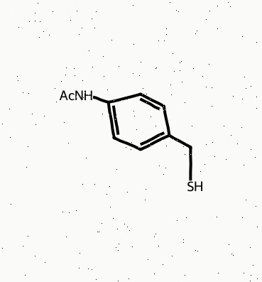 CC(=O)Nc1ccc(CS)cc1